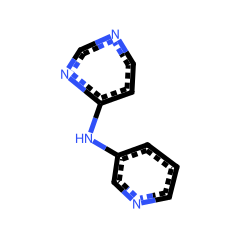 c1cncc(Nc2ccncn2)c1